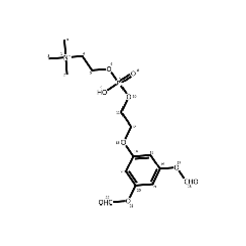 C[N+](C)(C)CCOP(=O)(O)OCCOc1cc(OC=O)cc(OC=O)c1